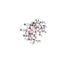 C[CH][Si](O[Si](C)(O[Si](C)(C)C)O[Si](C)(C)C)(O[Si](C)(O[Si](C)(C)C)O[Si](C)(C)C)O[Si](C)(O[Si](C)(C)C)O[Si](C)(C)C